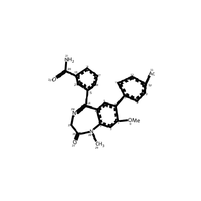 COc1cc2c(cc1-c1ccc(C(C)=O)cc1)C(c1cccc(C(N)=O)c1)=NCC(=O)N2C